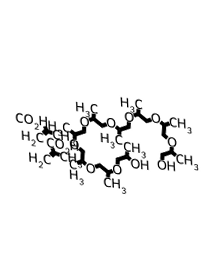 C=C(C)C(=O)O.C=C(C)C(=O)O.CC(O)COC(C)COC(C)COC(C)COC(C)COC(C)COC(C)COC(C)COC(C)CO